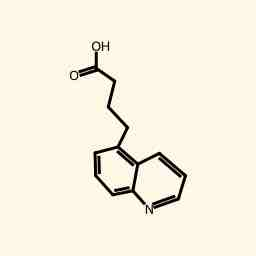 O=C(O)CCCc1cccc2ncccc12